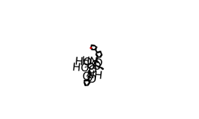 C=CCOC1O[C@H](CNS(=O)(=O)c2ccccc2)[C@@H](O)[C@H](O)[C@H]1NC(=O)c1cccc(-c2ccccc2)c1